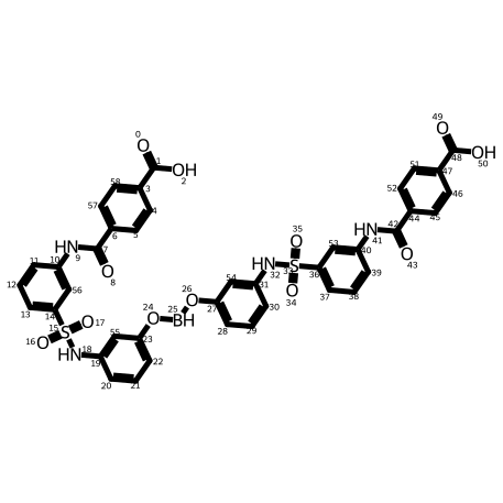 O=C(O)c1ccc(C(=O)Nc2cccc(S(=O)(=O)Nc3cccc(OBOc4cccc(NS(=O)(=O)c5cccc(NC(=O)c6ccc(C(=O)O)cc6)c5)c4)c3)c2)cc1